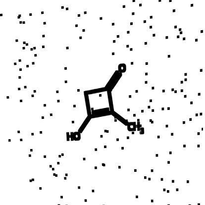 CC1=C(O)CC1=O